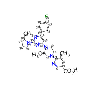 Cc1cc(C(=O)O)cnc1N1CCN(c2cc(-c3ccc(F)cc3)nc(N3CCCC3C)n2)C(C)C1